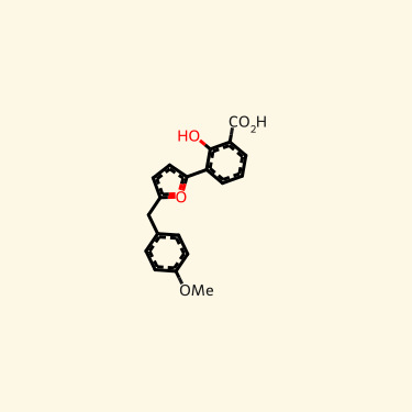 COc1ccc(Cc2ccc(-c3cccc(C(=O)O)c3O)o2)cc1